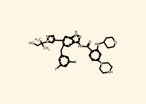 CC(C)(CO)n1cc(-c2cc3[nH]nc(NC(=O)c4ccc(N5CCNCC5)cc4NC4CCOCC4)c3cc2Cc2cc(F)cc(F)c2)cn1